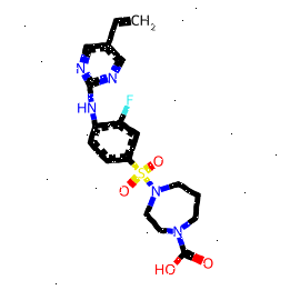 C=Cc1cnc(Nc2ccc(S(=O)(=O)N3CCCN(C(=O)O)CC3)cc2F)nc1